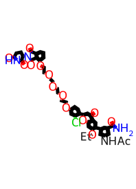 CCOc1cc2oc(-c3ccc(OCCOCCOCCOCCOc4cccc5c4C(=O)N(C4CCC(=O)NC4=O)C5=O)cc3Cl)cc(=O)c2cc1-c1cc(NC(C)=O)cc(C(N)=O)c1